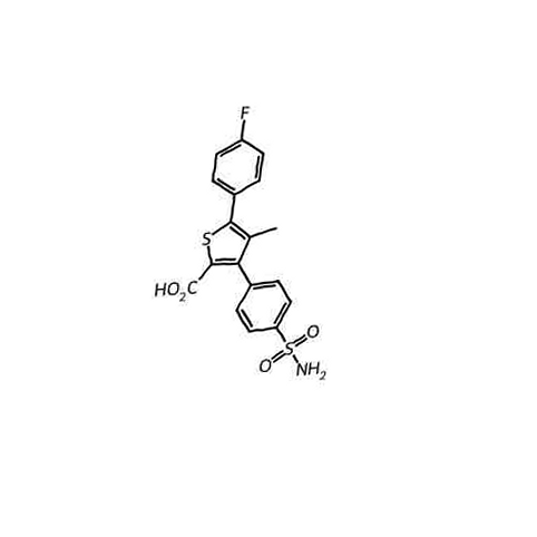 Cc1c(-c2ccc(F)cc2)sc(C(=O)O)c1-c1ccc(S(N)(=O)=O)cc1